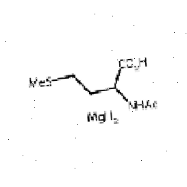 CSCCC(NC(C)=O)C(=O)O.[MgH2]